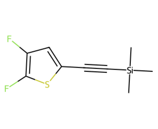 C[Si](C)(C)C#Cc1cc(F)c(F)s1